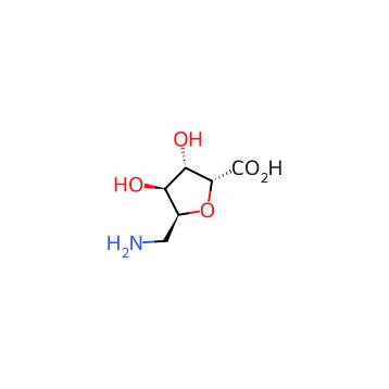 NC[C@@H]1O[C@@H](C(=O)O)[C@@H](O)[C@@H]1O